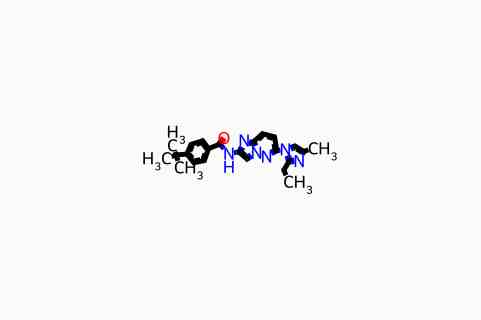 CCc1nc(C)cn1-c1ccc2nc(NC(=O)c3ccc(C(C)(C)C)cc3)cn2n1